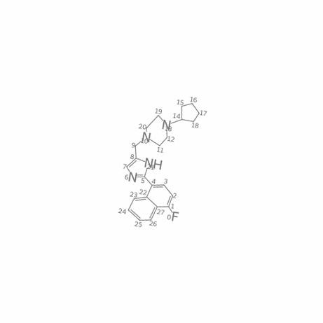 Fc1ccc(-c2ncc(CN3CCN(C4CCCC4)CC3)[nH]2)c2ccccc12